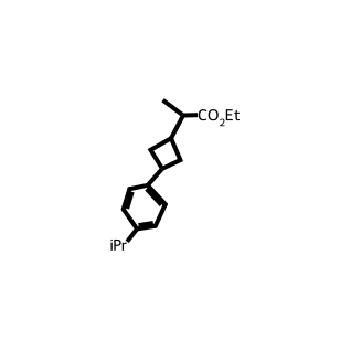 CCOC(=O)C(C)C1CC(c2ccc(C(C)C)cc2)C1